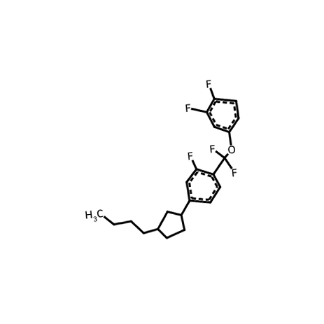 CCCCC1CCC(c2ccc(C(F)(F)Oc3ccc(F)c(F)c3)c(F)c2)C1